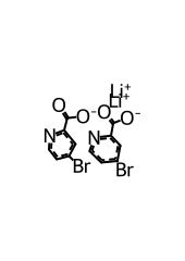 O=C([O-])c1cc(Br)ccn1.O=C([O-])c1cc(Br)ccn1.[Li+].[Li+]